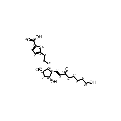 O=C(O)c1ccc(CCC[C@@H]2[C@@H](C=CC(O)CCCCCO)[C@H](O)C[C@H]2Cl)s1